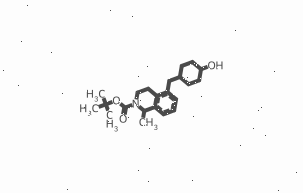 CC1c2cccc(CC3CCC(O)CC3)c2CCN1C(=O)OC(C)(C)C